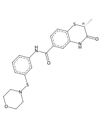 C[C@H]1Sc2ccc(C(=O)Nc3cccc(SN4CCOCC4)c3)cc2NC1=O